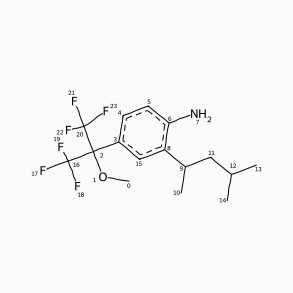 COC(c1ccc(N)c(C(C)CC(C)C)c1)(C(F)(F)F)C(F)(F)F